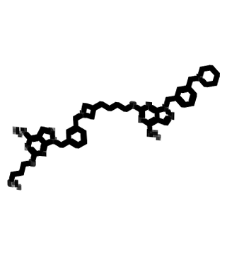 CCCCOc1nc(N)c2cnn(Cc3cccc(CN4CC(CCCCOc5nc(N)c6cnn(Cc7cccc(CN8CCCCC8)c7)c6n5)C4)c3)c2n1